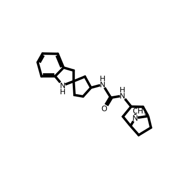 CN1C2CCC1CC(NC(=O)NC1CCC3(Cc4ccccc4N3)C1)C2